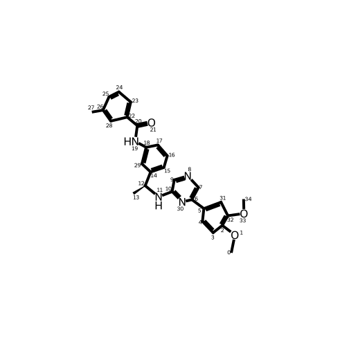 COc1ccc(-c2cncc(N[C@@H](C)c3cccc(NC(=O)c4cccc(C)c4)c3)n2)cc1OC